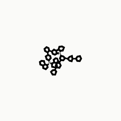 c1ccc(-c2ccc(-c3cc(-c4ccc(-c5ccccc5)cc4)cc(-n4c5ccccc5c5cc(-c6ccccc6-c6ccc(N(c7cccc8ccccc78)c7cccc8ccccc78)cc6)ccc54)c3)cc2)cc1